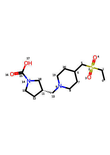 CCS(=O)(=O)CC1CCN(C[C@@H]2CCN(C(=O)O)C2)CC1